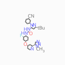 Cn1nncc1-c1cc(Oc2ccc(NC(=O)Nc3cc(C(C)(C)C)nn3-c3cccc(C#N)c3)c(F)c2)ccn1